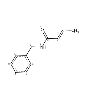 C/C=C/C(=O)NCc1ccccc1